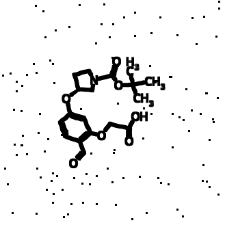 CC(C)(C)OC(=O)N1CC[C@H](Oc2ccc(C=O)c(OCC(=O)O)c2)C1